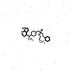 CCCN=S(=O)(CCc1ccccc1)CC1CCC(N(C)c2ncnc3[nH]ccc23)CC1